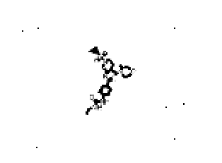 CCNC(=O)Nc1ccc(-c2nc3c(c(N4CCOCC4C)n2)CCN(S(=O)(=O)C2CC2)C3)cc1